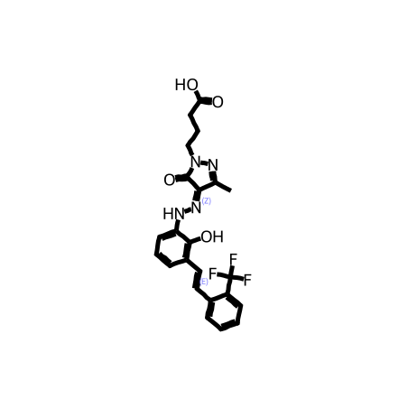 CC1=NN(CCCC(=O)O)C(=O)/C1=N\Nc1cccc(/C=C/c2ccccc2C(F)(F)F)c1O